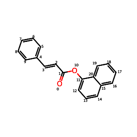 O=C(/C=C/c1ccccc1)Oc1cccc2ccccc12